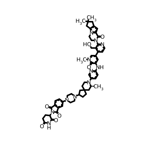 C[C@H]1CC2(CCC(N3CCN(c4ccc5c(c4)C(=O)N(C4CCC(=O)NC4=O)C5=O)CC3)C2)CCN1c1ccc(Nc2cc(-c3ccnc(N4CCn5c(cc6c5CC(C)(C)C6)C4=O)c3CO)cn(C)c2=O)nc1